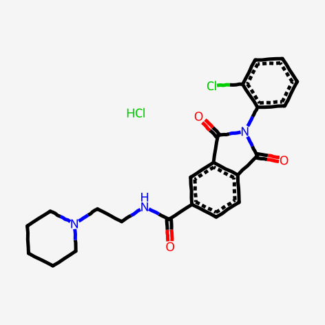 Cl.O=C(NCCN1CCCCC1)c1ccc2c(c1)C(=O)N(c1ccccc1Cl)C2=O